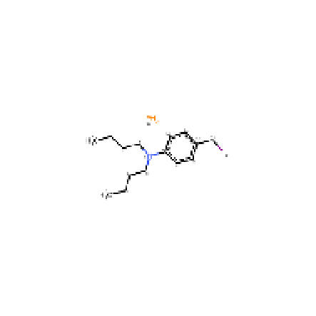 CCCCN(CCCC)c1ccc(CI)cc1.P